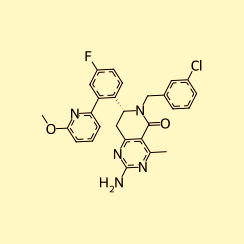 COc1cccc(-c2cc(F)ccc2[C@H]2Cc3nc(N)nc(C)c3C(=O)N2Cc2cccc(Cl)c2)n1